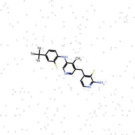 [2H]C([2H])([2H])c1ccc(Nc2cncc(Cc3ccnc(N)c3F)c2C)c(F)c1